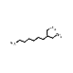 CC[CH]CCCCC(CC)CC